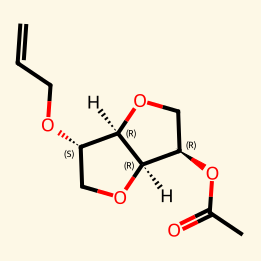 C=CCO[C@H]1CO[C@H]2[C@@H]1OC[C@H]2OC(C)=O